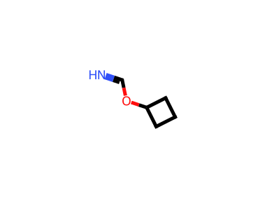 N=COC1CCC1